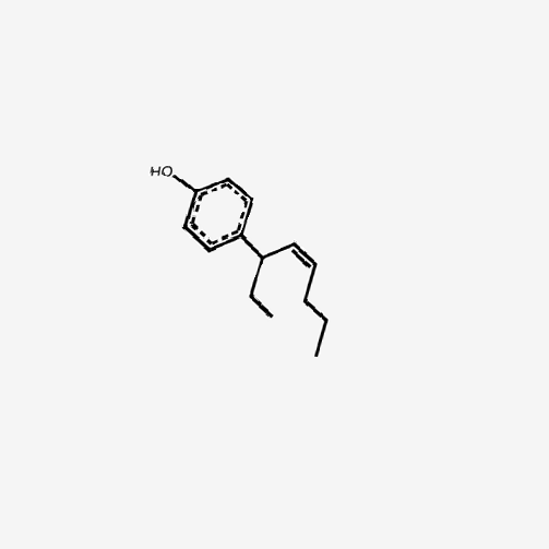 CCC/C=C\C(CC)c1ccc(O)cc1